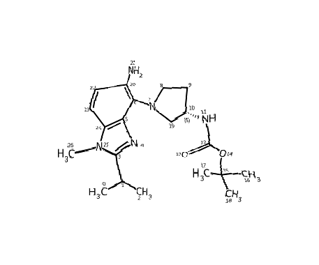 CC(C)c1nc2c(N3CC[C@H](NC(=O)OC(C)(C)C)C3)c(N)ccc2n1C